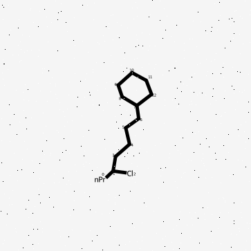 CCCC(Cl)CCCCC1CCCCC1